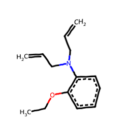 C=CCN(CC=C)c1ccccc1OCC